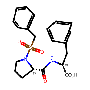 O=C(O)[C@H](Cc1ccccc1)NC(=O)[C@@H]1CCCN1S(=O)(=O)Cc1ccccc1